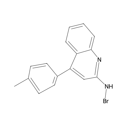 Cc1ccc(-c2cc(NBr)nc3ccccc23)cc1